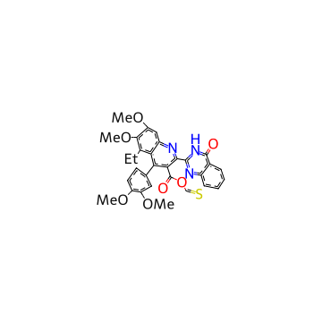 CCc1c(OC)c(OC)cc2nc(-c3nc4ccccc4c(=O)[nH]3)c(C(=O)OC=S)c(-c3ccc(OC)c(OC)c3)c12